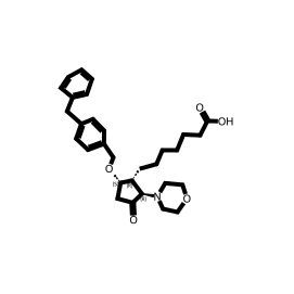 O=C(O)CCCCCC[C@H]1[C@@H](OCc2ccc(Cc3ccccc3)cc2)CC(=O)[C@@H]1N1CCOCC1